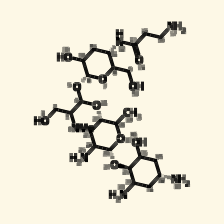 CNC(CO)C(O[C@H]1OC(CO)[C@@H](NC(=O)CCN)CC1O)O[C@H]1CC(N)[C@@H](O[C@@H]2C(N)C[C@@H](N)CC2O)OC1C